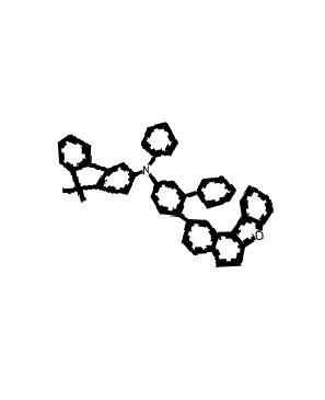 CC1(C)c2ccccc2-c2cc(N(c3ccccc3)c3ccc(-c4ccc5ccc6oc7ccccc7c6c5c4)c(-c4ccccc4)c3)ccc21